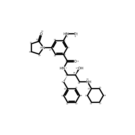 CCNc1cc(C(=O)N[C@@H](Cc2ccccc2)[C@@H](O)CNC2CCCCC2)cc(N2CCCC2=O)c1